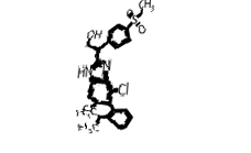 CCS(=O)(=O)c1ccc(C(CO)c2nc3c(Cl)c(-c4ccccc4C(C)C)c(Cl)cc3[nH]2)cc1